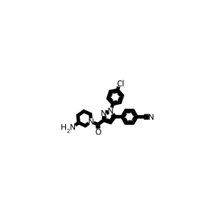 N#Cc1ccc(-c2cc(C(=O)N3CCCC(N)C3)nn2-c2ccc(Cl)cc2)cc1